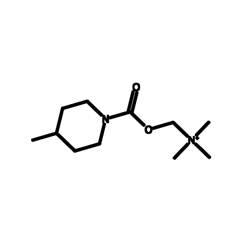 CC1CCN(C(=O)OC[N+](C)(C)C)CC1